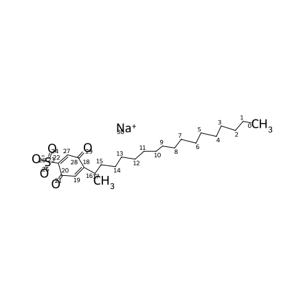 CCCCCCCCCCCCCCCCC(C)C1=CC(=O)C(S(=O)(=O)[O-])=CC1=O.[Na+]